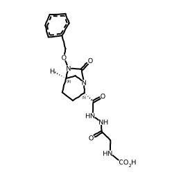 O=C(O)NCC(=O)NNC(=O)[C@@H]1CC[C@@H]2CN1C(=O)N2OCc1ccccc1